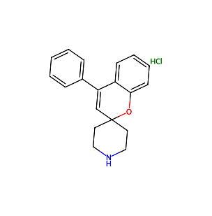 C1=C(c2ccccc2)c2ccccc2OC12CCNCC2.Cl